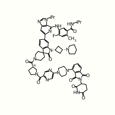 Cc1cc(F)c(Nc2nc(-c3ccc4c(c3)N([C@H]3C[C@@H](N5CCCCC5)C3)C(=O)C43CCN(C(=O)[C@@H]4CCN(C(=O)c5cnc(N6CCN(c7cccc8c7C(=O)N(C7CCC(=O)NC7=O)C8=O)CC6)cn5)C4)CC3)cc3ncn(C(C)C)c23)cc1C(=O)NC(C)C